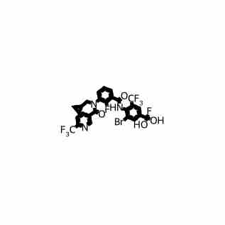 O=C(Nc1c(Br)cc(C(O)(O)F)cc1C(F)(F)F)c1cccc(N(CC2CC2)C(=O)c2ccc(C(F)(F)F)nc2)c1F